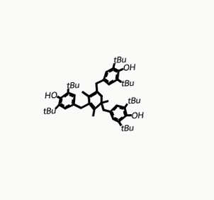 CC1=C(Cc2cc(C(C)(C)C)c(O)c(C(C)(C)C)c2)CC(C)(Cc2cc(C(C)(C)C)c(O)c(C(C)(C)C)c2)C(C)=C1Cc1cc(C(C)(C)C)c(O)c(C(C)(C)C)c1